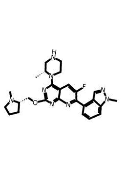 C[C@@H]1CNCCN1c1nc(OC[C@@H]2CCCN2C)nc2nc(-c3cccc4c3cnn4C)c(F)cc12